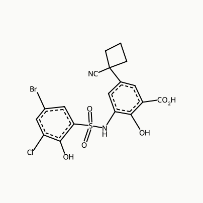 N#CC1(c2cc(NS(=O)(=O)c3cc(Br)cc(Cl)c3O)c(O)c(C(=O)O)c2)CCC1